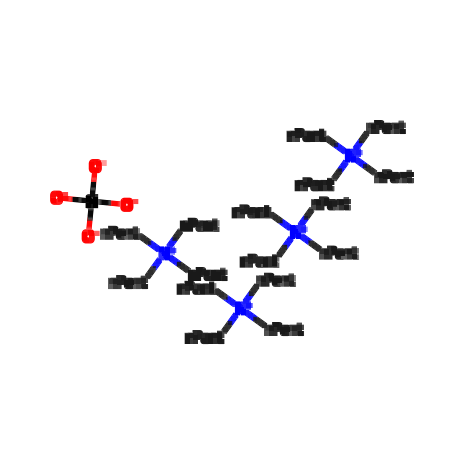 CCCCC[N+](CCCCC)(CCCCC)CCCCC.CCCCC[N+](CCCCC)(CCCCC)CCCCC.CCCCC[N+](CCCCC)(CCCCC)CCCCC.CCCCC[N+](CCCCC)(CCCCC)CCCCC.[O-][Si]([O-])([O-])[O-]